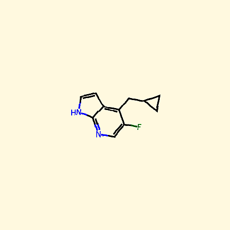 Fc1cnc2[nH]ccc2c1CC1CC1